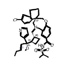 CC/C=C/[C@@](OC)(c1cccnc1)[C@@H]1CC[C@H]1CN1C[C@@]2(CCCc3cc(Cl)ccc32)COc2ccc(C(=O)NS(=O)(=O)C(C)C)cc21